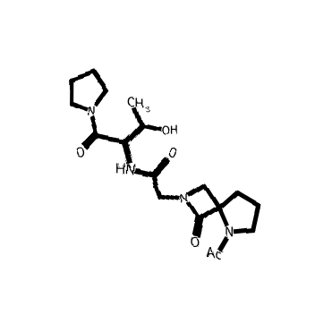 CC(=O)N1CCCC12CN(CC(=O)NC(C(=O)N1CCCC1)C(C)O)C2=O